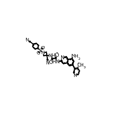 Cc1ccncc1-c1cc(N)c2cnc(NC(=O)C(=O)NC3(C#N)CN(S(=O)(=O)c4ccc(C#N)cc4)C3)cc2c1